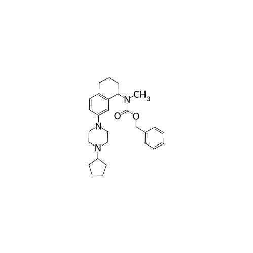 CN(C(=O)OCc1ccccc1)C1CCCc2ccc(N3CCN(C4CCCC4)CC3)cc21